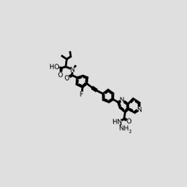 CCC(C)C(C(=O)O)N(C)C(=O)c1ccc(C#Cc2ccc(-c3cc(C(=O)NN)c4cnccc4n3)cc2)c(F)c1